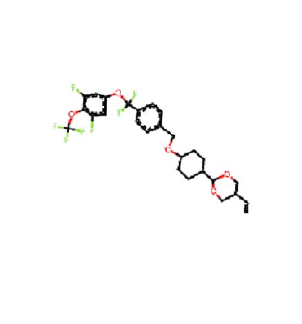 C=CC1COC(C2CCC(OCc3ccc(C(F)(F)Oc4cc(F)c(OC(F)(F)F)c(F)c4)cc3)CC2)OC1